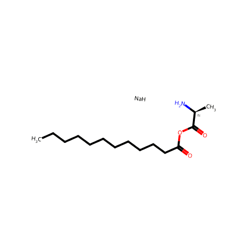 CCCCCCCCCCCC(=O)OC(=O)[C@H](C)N.[NaH]